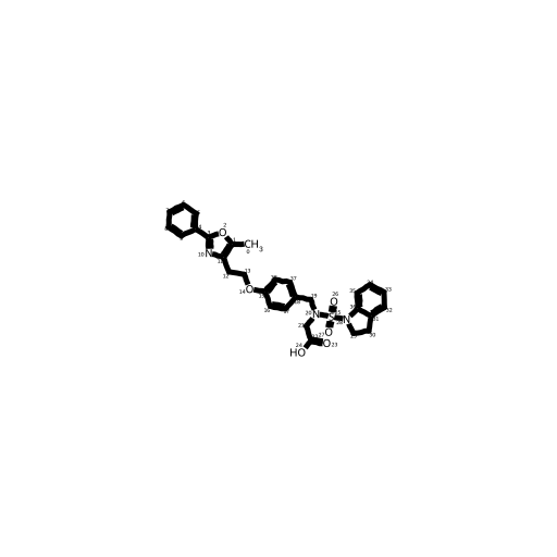 Cc1oc(-c2ccccc2)nc1CCOc1ccc(CN(CC(=O)O)S(=O)(=O)N2CCc3ccccc32)cc1